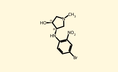 CN1C[C@H](O)[C@H](Nc2ccc(Br)cc2[N+](=O)[O-])C1